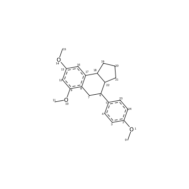 COc1ccc(C2Cc3c(OC)cc(OC)cc3C3CCCC23)cc1